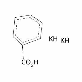 O=C(O)c1ccccc1.[KH].[KH]